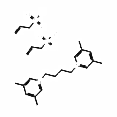 C=CCS(=O)(=O)[O-].C=CCS(=O)(=O)[O-].Cc1cc(C)c[n+](CCCC[n+]2cc(C)cc(C)c2)c1